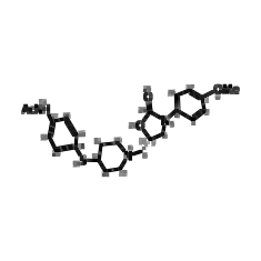 COc1ccc(N2C[C@H](CN3CCC(Sc4ccc(NC(C)=O)cc4)CC3)OC2=O)cc1